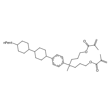 C=C(C)C(=O)OCCCS(C)(CCCOC(=O)C(=C)C)c1ccc(C2CCC(C3CCC(CCCCC)CC3)CC2)cc1